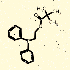 CC(C)(C)C(=O)OCCP(c1ccccc1)c1ccccc1